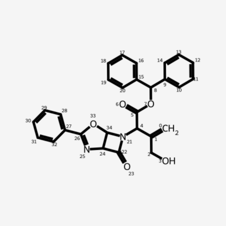 C=C(CO)C(C(=O)OC(c1ccccc1)c1ccccc1)N1C(=O)C2N=C(c3ccccc3)OC21